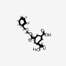 O=C(O)C1CC(C(=O)O)CC(C(=O)OCOCc2ccccc2)C1